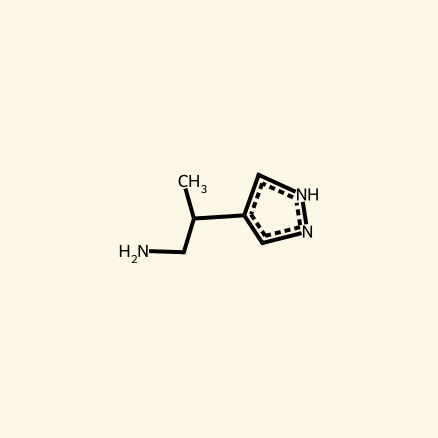 CC(CN)c1cn[nH]c1